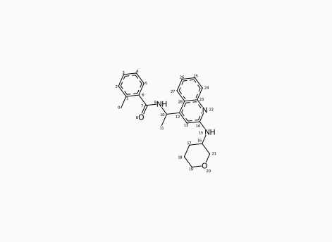 Cc1ccccc1C(=O)NC(C)c1cc(NC2CCCOC2)nc2ccccc12